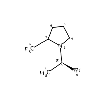 CC(C)[C@@H](C)N1CCCC1C(F)(F)F